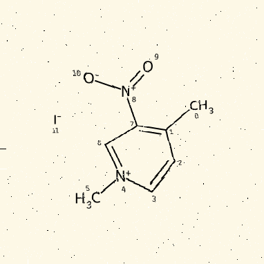 Cc1cc[n+](C)cc1[N+](=O)[O-].[I-]